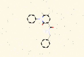 Cc1cc(C(=O)NCc2ccccc2)c(=O)n(-c2ccccc2)c1C